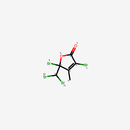 CC1=C(Br)C(=O)OC1(Br)C(Br)Br